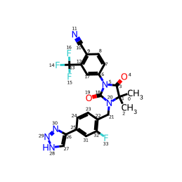 CC1(C)C(=O)N(c2ccc(C#N)c(C(F)(F)F)c2)C(=O)N1Cc1ccc(-c2c[nH]nn2)cc1F